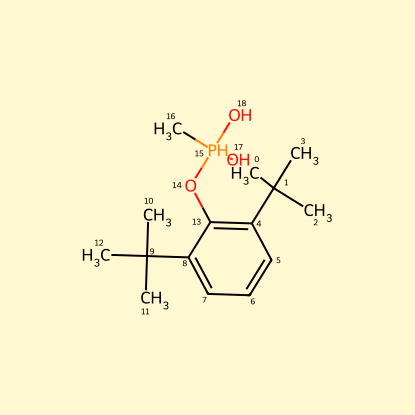 CC(C)(C)c1cccc(C(C)(C)C)c1O[PH](C)(O)O